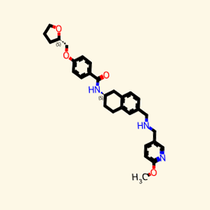 COc1ccc(CNCc2ccc3c(c2)CC[C@H](NC(=O)c2ccc(OC[C@@H]4CCCO4)cc2)C3)cn1